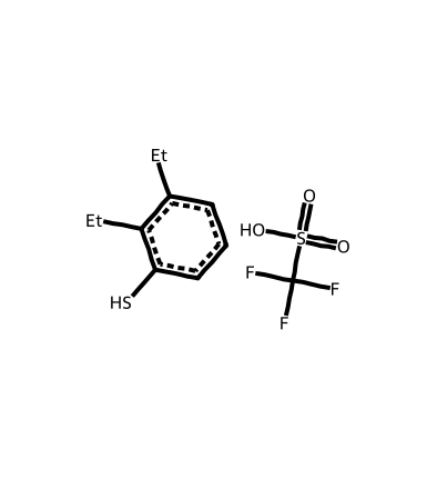 CCc1cccc(S)c1CC.O=S(=O)(O)C(F)(F)F